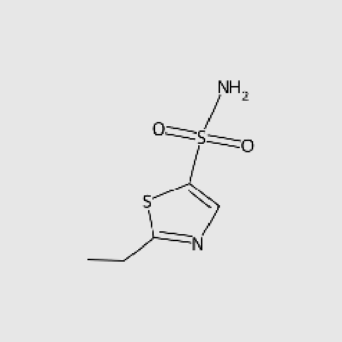 CCc1ncc(S(N)(=O)=O)s1